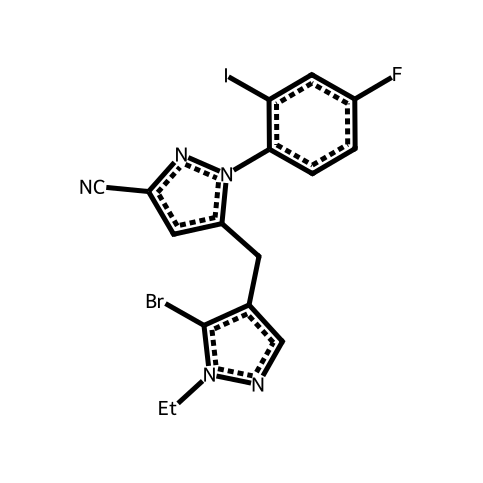 CCn1ncc(Cc2cc(C#N)nn2-c2ccc(F)cc2I)c1Br